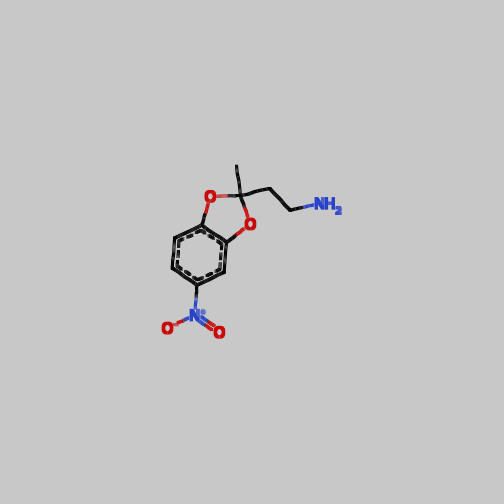 CC1(CCN)Oc2ccc([N+](=O)[O-])cc2O1